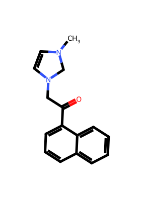 CN1C=CN(CC(=O)c2cccc3ccccc23)C1